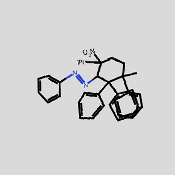 CC(C)C1([N+](=O)[O-])CCC(C)(c2ccccc2)C(c2ccccc2)(c2ccccc2)C1N=Nc1ccccc1